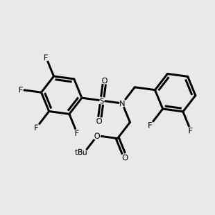 CC(C)(C)OC(=O)CN(Cc1cccc(F)c1F)S(=O)(=O)c1cc(F)c(F)c(F)c1F